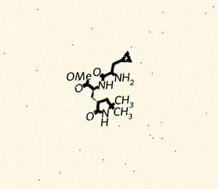 COC(=O)[C@H](C[C@@H]1CC(C)(C)NC1=O)NC(=O)C(N)CC1CC1